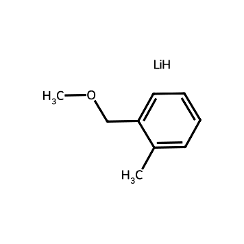 COCc1ccccc1C.[LiH]